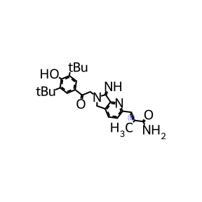 C/C(=C\c1ccc2c(n1)C(=N)N(CC(=O)c1cc(C(C)(C)C)c(O)c(C(C)(C)C)c1)C2)C(N)=O